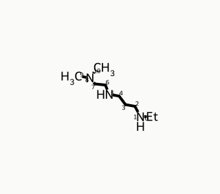 CCNCCCNCCN(C)C